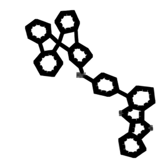 c1ccc2c(c1)-c1ccccc1C21c2ccccc2-c2ccc(Nc3ccc(-c4cccc5c4sc4c6ccccc6sc54)cc3)cc21